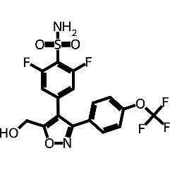 NS(=O)(=O)c1c(F)cc(-c2c(-c3ccc(OC(F)(F)F)cc3)noc2CO)cc1F